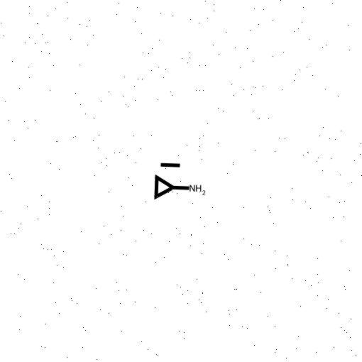 CC.NC1CC1